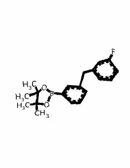 CC1(C)OB(c2cccc(Cc3cccc(F)c3)c2)OC1(C)C